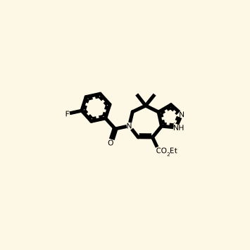 CCOC(=O)C1=CN(C(=O)c2cccc(F)c2)CC(C)(C)c2cn[nH]c21